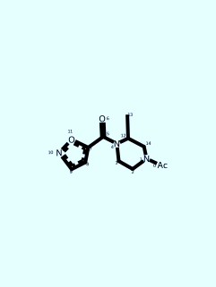 CC(=O)N1CCN(C(=O)c2ccno2)C(C)C1